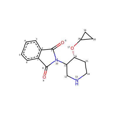 O=C1c2ccccc2C(=O)N1C1CNCC[C@H]1OC1CC1